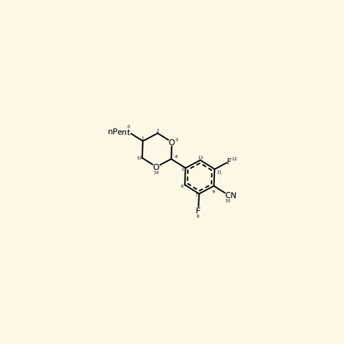 CCCCCC1COC(c2cc(F)c(C#N)c(F)c2)OC1